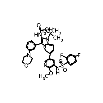 COc1ncc(C2=CC=C3N(C2)C(c2cccc(N4CCOCC4)c2)=C(NC(=O)O)N3C(C)(C)C)cc1NS(=O)(=O)c1ccc(F)cc1F